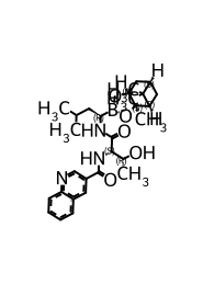 CC(C)C[C@H](NC(=O)[C@@H](NC(=O)c1cnc2ccccc2c1)[C@@H](C)O)B1O[C@@H]2C[C@@H]3C[C@@H](C3(C)C)[C@]2(C)O1